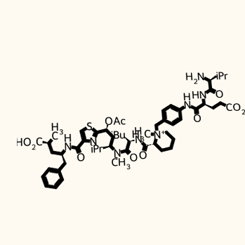 CC[C@H](C)[C@H](NC(=O)[C@H]1CCCC[N+]1(C)Cc1ccc(NC(=O)[C@H](CCC(=O)O)NC(=O)[C@@H](N)C(C)C)cc1)C(=O)N(C)[C@H](C[C@@H](OC(C)=O)c1nc(C(=O)N[C@@H](Cc2ccccc2)C[C@H](C)C(=O)O)cs1)C(C)C